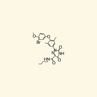 CCCCNC(=O)c1nn(-c2cc(C)c(Oc3ccc(OC)c(Br)c3)c(C)c2)c(=O)[nH]c1=O